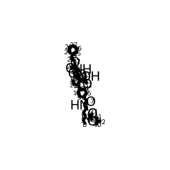 CCN(CCNC(=O)c1ccc(-c2ccn(S(=O)(=O)NC(=O)OCc3ccccc3)c2C(=O)O)cc1)C(=O)OC(C)(C)C